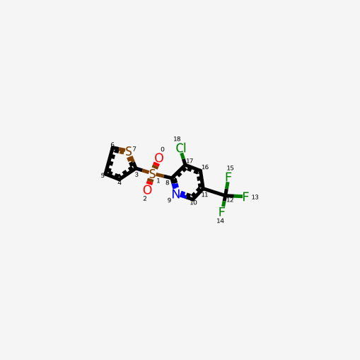 O=S(=O)(c1cc[c]s1)c1ncc(C(F)(F)F)cc1Cl